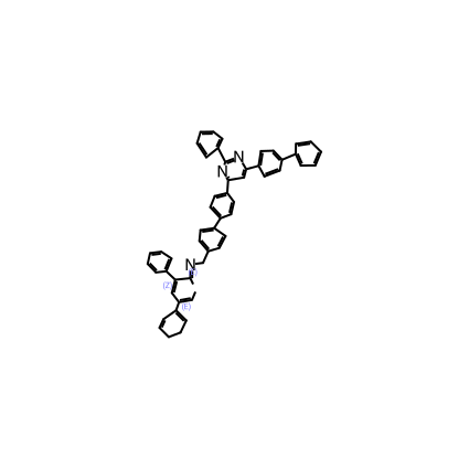 C\C=C(/C=C(\C(C)=N\Cc1ccc(-c2ccc(-c3cc(-c4ccc(-c5ccccc5)cc4)nc(-c4ccccc4)n3)cc2)cc1)c1ccccc1)C1=CCCC=C1